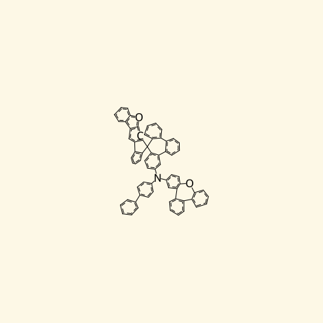 c1ccc(-c2ccc(N(c3ccc4c(c3)-c3ccccc3-c3ccccc3O4)c3ccc4c(c3)-c3ccccc3-c3ccccc3C43c4ccccc4-c4cc5c(cc43)oc3ccccc35)cc2)cc1